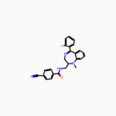 CN1c2ccccc2C(c2ccccc2F)=NCC1CNC(=O)c1ccc(C#N)cc1